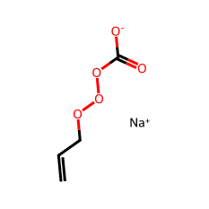 C=CCOOOC(=O)[O-].[Na+]